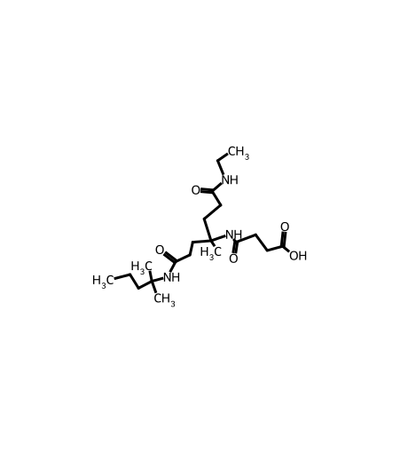 CCCC(C)(C)NC(=O)CCC(C)(CCC(=O)NCC)NC(=O)CCC(=O)O